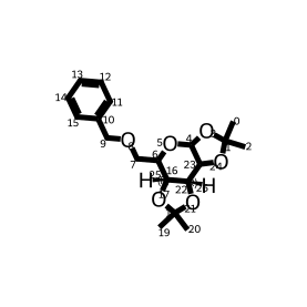 CC1(C)OC2OC(COCc3ccccc3)[C@H]3OC(C)(C)O[C@H]3C2O1